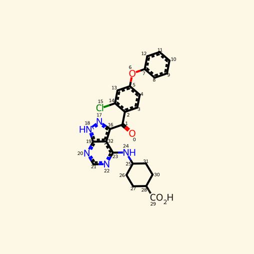 O=C(c1ccc(Oc2ccccc2)cc1Cl)c1n[nH]c2ncnc(NC3CCC(C(=O)O)CC3)c12